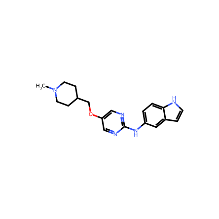 CN1CCC(COc2cnc(Nc3ccc4[nH]ccc4c3)nc2)CC1